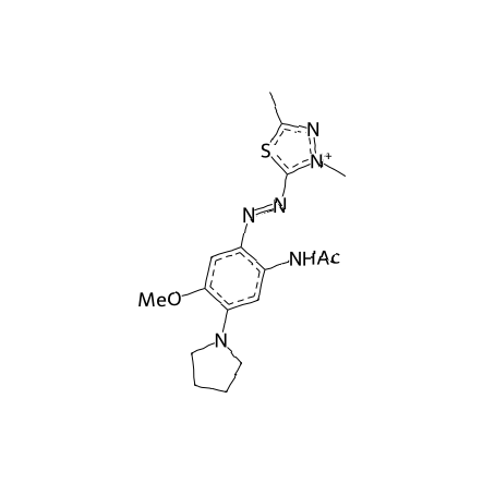 COc1cc(N=Nc2sc(C)n[n+]2C)c(NC(C)=O)cc1N1CCCC1